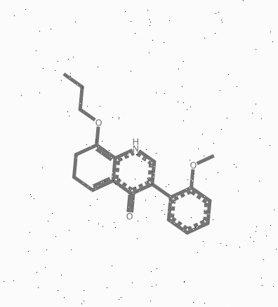 CCCOC1=c2[nH]cc(-c3ccccc3OC)c(=O)c2=CCC1